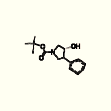 CC(C)(C)OC(=O)N1CC(c2ccccc2)[C@@H](O)C1